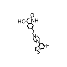 O=C1CC(O)c2ccc(CCN3CCN(c4cc(F)cc5sccc45)CC3)cc2N1